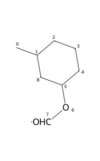 CC1CCCC(O[C]=O)C1